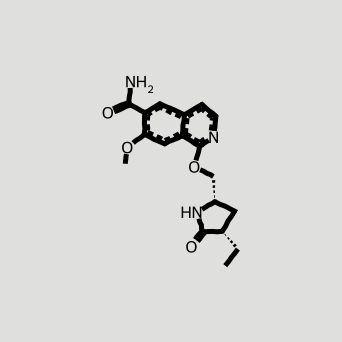 CC[C@H]1C[C@@H](COc2nccc3cc(C(N)=O)c(OC)cc23)NC1=O